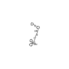 CC(C)(C)[Si](OCCOCCOCCNCc1cccc(OCc2ccccc2)c1)(c1ccccc1)c1ccccc1